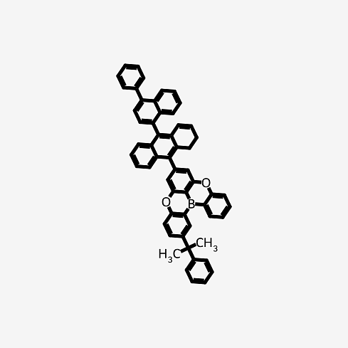 CC(C)(c1ccccc1)c1ccc2c(c1)B1c3ccccc3Oc3cc(-c4c5c(c(-c6ccc(-c7ccccc7)c7ccccc67)c6ccccc46)C=CCC5)cc(c31)O2